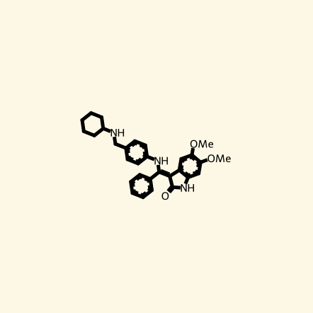 COc1cc2c(cc1OC)C(=C(Nc1ccc(CNC3CCCCC3)cc1)c1ccccc1)C(=O)N2